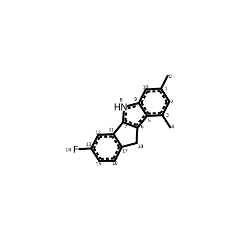 Cc1cc(C)c2c3c([nH]c2c1)-c1cc(F)ccc1C3